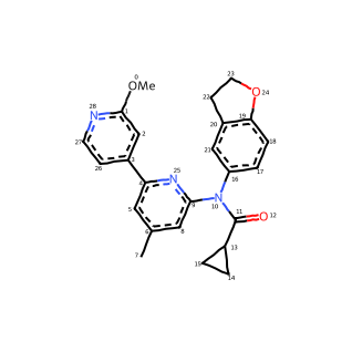 COc1cc(-c2cc(C)cc(N(C(=O)C3CC3)c3ccc4c(c3)CCO4)n2)ccn1